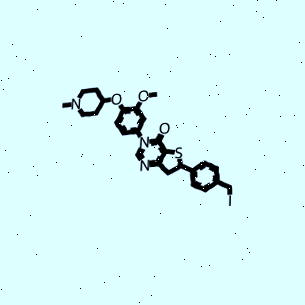 COc1cc(-n2cnc3c(c2=O)SC(c2ccc(CI)cc2)C3)ccc1OC1CCN(C)CC1